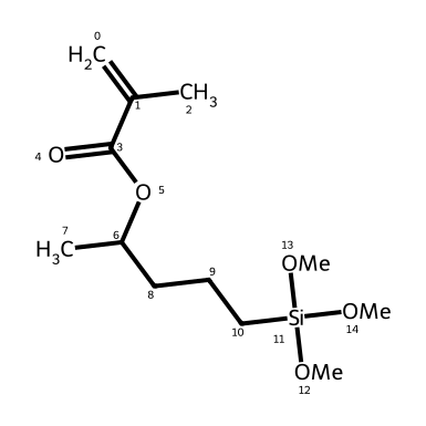 C=C(C)C(=O)OC(C)CCC[Si](OC)(OC)OC